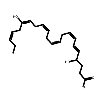 CC/C=C\C/C(O)=C\C/C=C\C/C=C\C/C=C\C=C\C(O)CCC(=O)O